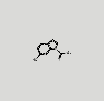 CC(C)(C)C(=O)n1ccc2ccc(O)cc21